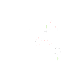 CC(C)[C@@H]1CC[C@@H](C)C[C@H]1OC(=O)O[C@@H](C)OC(=O)[C@@]1(N)[C@H]2[C@@H](C[C@H]1OCc1ccc(F)cc1)[C@]2(F)C(=O)O